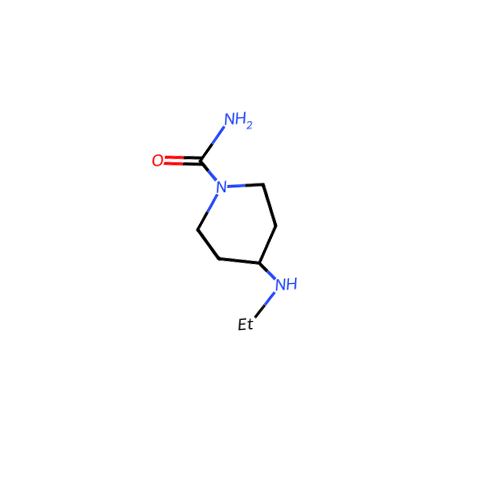 CCNC1CCN(C(N)=O)CC1